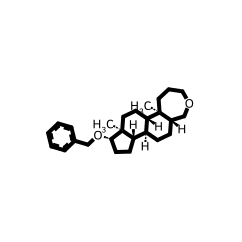 C[C@]12CCCOC[C@@H]1CC[C@@H]1[C@@H]2CC[C@]2(C)[C@@H](OCc3ccccc3)CC[C@@H]12